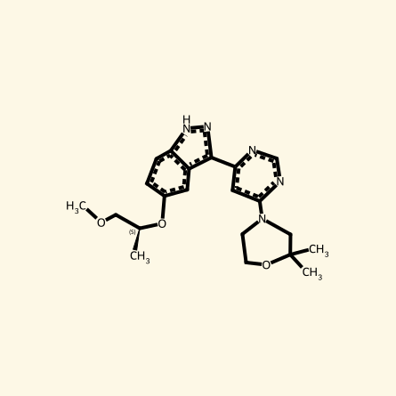 COC[C@H](C)Oc1ccc2[nH]nc(-c3cc(N4CCOC(C)(C)C4)ncn3)c2c1